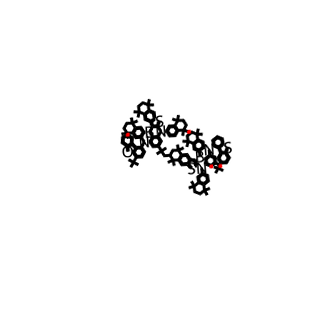 Cc1cc2c3c(c1)N(c1cccc4sc5ccc(C(C)(C)C)cc5c14)c1cc4c(cc1B3c1c(sc3cc5c(cc13)C(C)(C)CC(CC(C)(C)c1cc3c6c(c1)N(c1ccc(C(C)(C)C)c7oc8ccccc8c17)c1cc7c(cc1B6c1c(sc6cc8c(cc16)C(C)(C)CCC8(C)C)N3c1ccc3c(c1)C(C)(C)CCC3(C)C)C(C)(C)CCC7(C)C)C5(C)C)N2c1ccc2c(c1)C(C)(C)CCC2(C)C)C(C)(C)CCC4(C)C